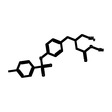 Cc1ccc(S(=O)(=O)Oc2ccc(CC(CN)CC(=O)OC(C)(C)C)cc2)cc1